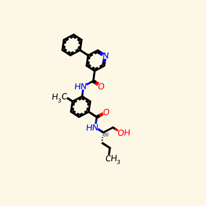 CCC[C@@H](CO)NC(=O)c1ccc(C)c(NC(=O)c2cncc(-c3ccccc3)c2)c1